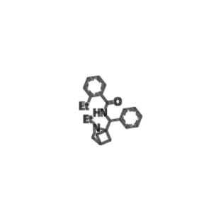 CCc1ccccc1C(=O)NC(c1ccccc1)C12CC(CN1CC)C2